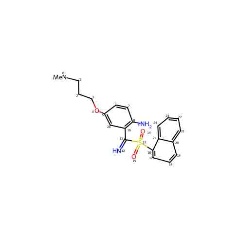 CNCCCOc1ccc(N)c(C(=N)S(=O)(=O)c2cccc3ccccc23)c1